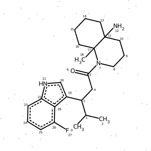 CC(C)C(CC(=O)N1CCCC2(N)CCCCC12C)c1c[nH]c2cccc(F)c12